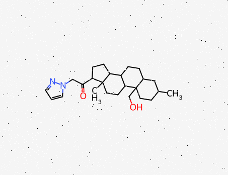 CC1CCC2(CO)C(CCC3C4CCC(C(=O)Cn5cccn5)C4(C)CCC32)C1